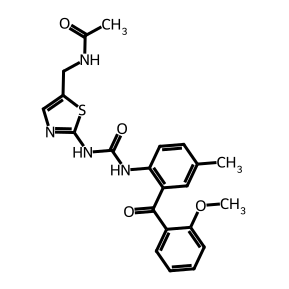 COc1ccccc1C(=O)c1cc(C)ccc1NC(=O)Nc1ncc(CNC(C)=O)s1